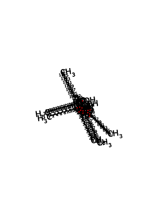 CCCCCCCCCCCCCC[C@H]1CC[C@H](C(=O)O[C@@]2(C(=O)[C@H]3CC[C@H](CCCCCCCCCCCCCC)CC3)[C@@](OC(=O)[C@H]3CC[C@H](CCCCCCCCCCCCCC)CC3)(C(=O)[C@H]3CC[C@H](CCCCCCCCCCCCCC)CC3)[C@@H](O)[C@H](O)[C@@H](O)[C@@]2(OC(=O)[C@H]2CC[C@H](CCCCCCCCCCCCCC)CC2)C(=O)[C@H]2CC[C@H](CCCCCCCCCCCCCC)CC2)CC1